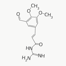 COc1cc(/C=C/C(=O)NC(=N)N)cc(C=O)c1OC